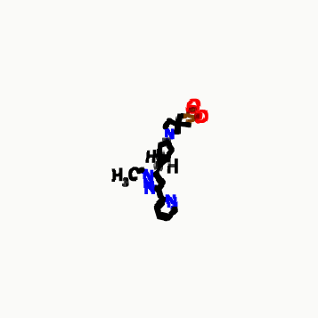 CCn1nc(-c2ccccn2)cc1[C@H]1[C@@H]2C[C@@H](N3CCC4(C3)CS(=O)(=O)C4)C[C@@H]21